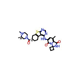 Cc1cc(Nc2ncnc3sc4c(c23)CC[C@H](C(=O)N2CCN(C)[C@H](C)C2)C4)c(=O)n2c1C(=O)NC21CCC1